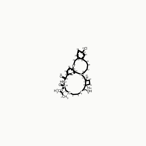 CC(C)[C@H]1CCCC[C@H](O)[C@@H]2CC[C@H]2CN2CCCCc3cc(Cl)ccc3COc3ccc(cc32)C(=O)NS1(=O)=O